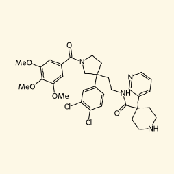 COc1cc(C(=O)N2CCC(CCNC(=O)C3(c4cccnc4)CCNCC3)(c3ccc(Cl)c(Cl)c3)C2)cc(OC)c1OC